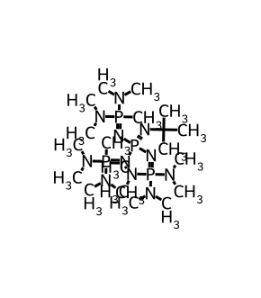 CN(C)P(C)(=NP(=NC(C)(C)C)(N=P(C)(N(C)C)N(C)C)N=P(N(C)C)(N(C)C)N(C)C)N(C)C